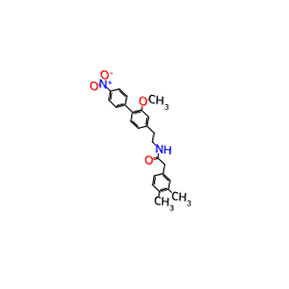 COc1cc(CCNC(=O)Cc2ccc(C)c(C)c2)ccc1-c1ccc([N+](=O)[O-])cc1